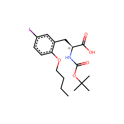 CCCCOc1ccc(I)cc1C[C@H](NC(=O)OC(C)(C)C)C(=O)O